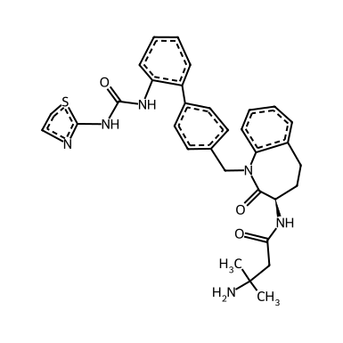 CC(C)(N)CC(=O)N[C@@H]1CCc2ccccc2N(Cc2ccc(-c3ccccc3NC(=O)Nc3nccs3)cc2)C1=O